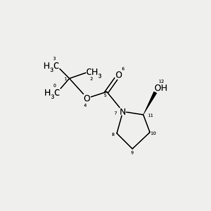 CC(C)(C)OC(=O)N1CCC[C@@H]1O